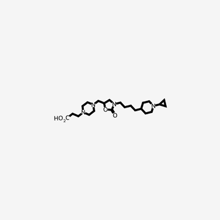 O=C(O)CCN1CCN(CC2CN(CCCCC3CCN(C4CC4)CC3)C(=O)O2)CC1